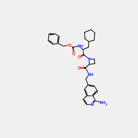 Nc1nccc2cc(CNC(=O)C3CCN3C(=O)C(CC3CCCCC3)NC(=O)OCc3ccccc3)ccc12